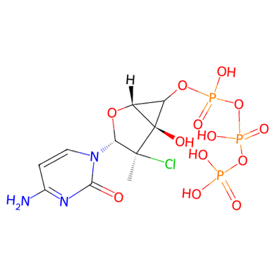 C[C@]1(Cl)[C@H](n2ccc(N)nc2=O)O[C@@H]2C(OP(=O)(O)OP(=O)(O)OP(=O)(O)O)[C@@]21O